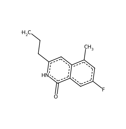 [CH2]CCc1cc2c(C)cc(F)cc2c(=O)[nH]1